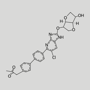 CS(=O)(=O)Cc1ccc(-c2ccc(-c3nc4nc(OC5CO[C@@H]6C(O)CO[C@H]56)[nH]c4cc3Cl)cc2)cc1